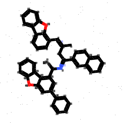 CCCC(/N=C(\C/C(C)=C\c1cccc2c1oc1ccccc12)c1ccc2ccccc2c1)c1cc(-c2ccccc2)cc2oc3ccccc3c12